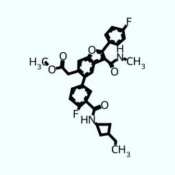 CCC1CC(NC(=O)c2cc(-c3cc4c(C(=O)NC)c(-c5ccc(F)cc5)oc4cc3CC(=O)OC)ccc2F)C1